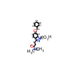 CN(C)C(=O)CCc1nn(C(=O)O)c2cc(OCc3ccccc3)ccc12